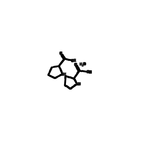 O.O=C(O)C1CCCN1.O=C(O)C1CCCN1